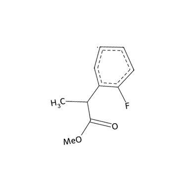 COC(=O)C(C)c1c[c]ccc1F